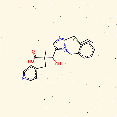 CCCCc1ncc(C(O)C(C)(Cc2ccncc2)C(=O)O)n1Cc1ccccc1Cl